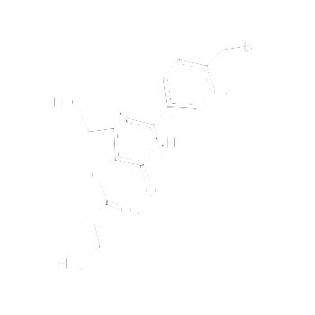 CCOC(=O)Oc1c(CC)nc(-c2ccc(CBr)cc2)[nH]c1=O